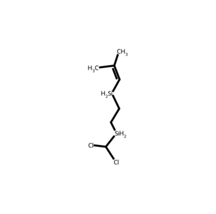 CC(C)=C[SiH2]CC[SiH2]C(Cl)Cl